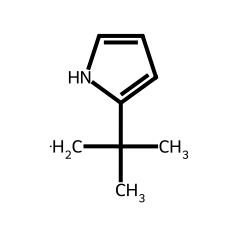 [CH2]C(C)(C)c1ccc[nH]1